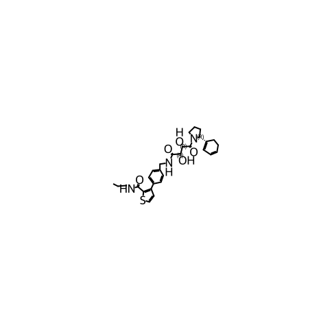 CCCNC(=O)c1sccc1-c1ccc(CNC(=O)[C@H](O)[C@@H](O)C(=O)N2CCC[C@@H]2C2=CC=CCC2)cc1